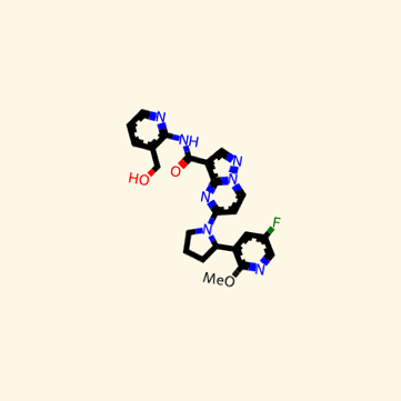 COc1ncc(F)cc1C1CCCN1c1ccn2ncc(C(=O)Nc3ncccc3CO)c2n1